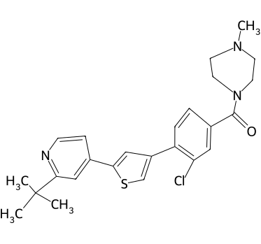 CN1CCN(C(=O)c2ccc(-c3csc(-c4ccnc(C(C)(C)C)c4)c3)c(Cl)c2)CC1